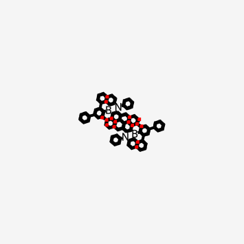 CC(C)c1c2c(c3ccc4c(C(C)C)c5c(c6ccc1c3c46)N(c1ccccc1)c1ccccc1B5c1c(-c3ccccc3)cc(-c3ccccc3)cc1-c1ccccc1)N(c1ccccc1)c1ccccc1B2c1c(-c2ccccc2)cc(-c2ccccc2)cc1-c1ccccc1